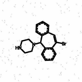 BrC1=Cc2ccccc2C(N2CCNCC2)c2ccccc21